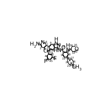 Cc1cc(N)ncc1-c1cc2[nH]nc(NC(=O)c3ccc(N4CCN(C)CC4)cc3NC3CCOCC3)c2cc1Cc1cc(F)cc(F)c1